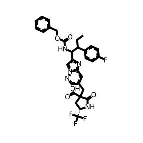 CCC(c1ccc(F)cc1)C(NC(=O)OCc1ccccc1)c1cn2ncc(CC3(C(=O)O)C[C@@H](C(F)(F)F)NC3=O)cc2n1